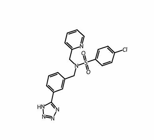 O=S(=O)(c1ccc(Cl)cc1)N(Cc1cccc(-c2nnn[nH]2)c1)Cc1ccccn1